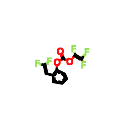 O=C(OC(F)=C(F)F)Oc1ccccc1C=C(F)F